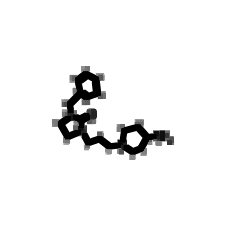 NC1CCN(CCCN2CCN(Cc3ccccc3)C2=O)CC1